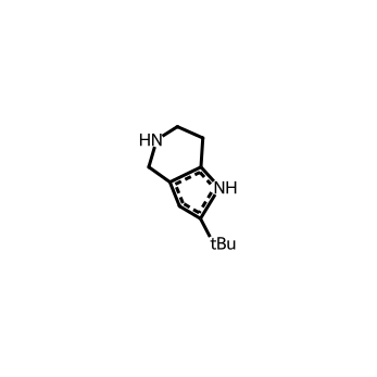 CC(C)(C)c1cc2c([nH]1)CCNC2